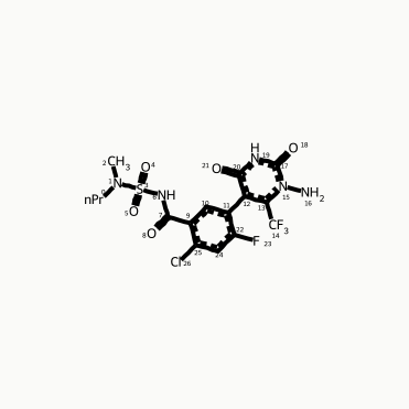 CCCN(C)S(=O)(=O)NC(=O)c1cc(-c2c(C(F)(F)F)n(N)c(=O)[nH]c2=O)c(F)cc1Cl